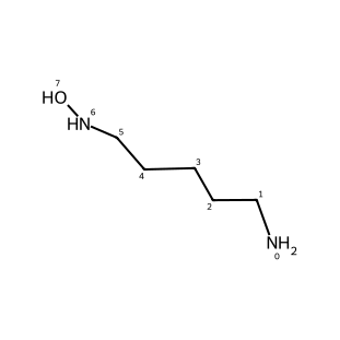 NCCCCCNO